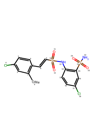 COc1cc(Cl)ccc1C=CS(=O)(=O)Nc1ccc(Cl)cc1S(N)(=O)=O